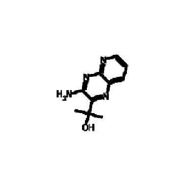 CC(C)(O)c1nc2cccnc2nc1N